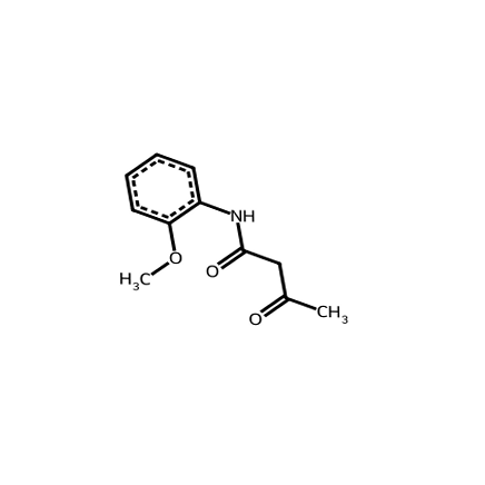 COc1ccccc1NC(=O)CC(C)=O